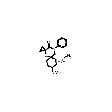 CC(=O)O.CNC1CCC2(CC1)CN(c1ccccc1)C(=O)C1(CC1)O2